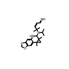 CC(C)N(C1Nc2cc3c(cc2C2(C)CC12C)OCO3)C(C)(C)/C=C\C=N